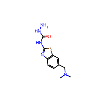 CN(C)Cc1ccc2nc(NC(=O)NN)sc2c1